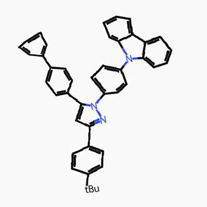 CC(C)(C)c1ccc(-c2cc(-c3ccc(-c4ccccc4)cc3)n(-c3ccc(-n4c5ccccc5c5ccccc54)cc3)n2)cc1